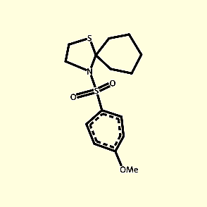 COc1ccc(S(=O)(=O)N2CCSC23CCCCC3)cc1